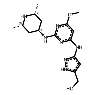 COc1cc(Nc2cc(CO)[nH]n2)nc(N[C@@H]2C[C@@H](C)N[C@@H](C)C2)n1